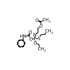 CCCSP(=NCCOC(C)=O)(OCC)OC(=O)Nc1ccccc1